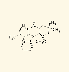 CC1(C)CC(=O)C2=C(C1)Nc1ncc(C(F)(F)F)c(Cl)c1[C@]2(C)c1ccccc1